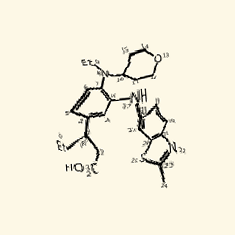 CC[C@H](CC(=O)O)c1ccc(N(CC)C2CCOCC2)c(Nc2ccc3nc(C)sc3c2)c1